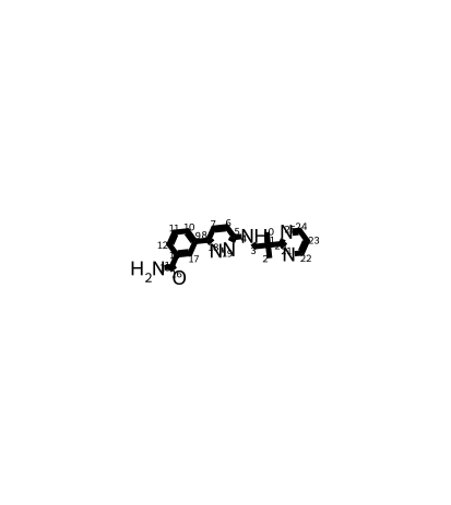 CC(C)(CNc1ccc(-c2cccc(C(N)=O)c2)nn1)c1ncccn1